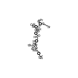 CCCOc1cc(OCCCCN(C)C)cc(Oc2cc3c(cc2NS(=O)(=O)c2cccc(C(=O)NCc4ccc(C(=O)NC(C(=O)N5CCC[C@H]5C(=O)NCc5ccc(-c6scnc6C)cc5)C(C)(C)C)cc4)c2)n(C)c(=O)n3C)c1